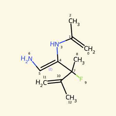 C=C(C)N/C(=C\N)C(C)(F)C(=C)C